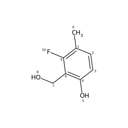 Cc1ccc(O)c(CO)c1F